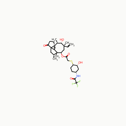 C=C[C@]1(C)C[C@@H](OC(=O)CS[C@@H]2CC[C@@H](NC(=O)C(F)(F)F)C[C@H]2O)[C@]2(C)[C@@H](C)CC34C(=O)CC[C@@]3([C@@H](C)[C@@H]1O)[C@@H]42